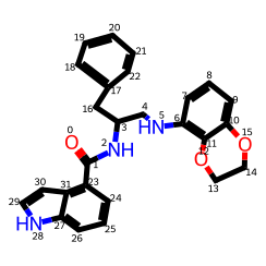 O=C(NC(CNc1cccc2c1OCCO2)Cc1ccccc1)c1cccc2[nH]ccc12